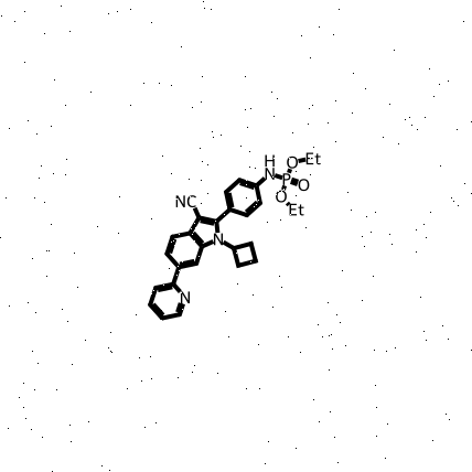 CCOP(=O)(Nc1ccc(-c2c(C#N)c3ccc(-c4ccccn4)cc3n2C2CCC2)cc1)OCC